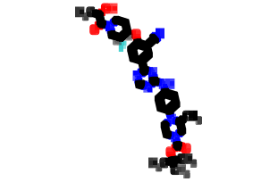 CC(O)C(=O)N1CC[C@H](Oc2ccc(-c3ncnc(Nc4ccc(N5CCN(C(=O)OC(C)(C)C)CC5C)cc4)n3)cc2C#N)[C@H](F)C1